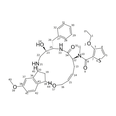 CCOc1ccsc1C(=O)N(C)[C@H]1CC=CCO[C@@H]2C[C@H](NC[C@@H](O)[C@H](Cc3ccccc3)NC1=O)c1cc(OC)ccc12